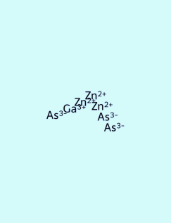 [As-3].[As-3].[As-3].[Ga+3].[Zn+2].[Zn+2].[Zn+2]